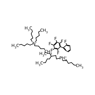 CCCCCC[PH2+]CCC(CC)CCCC.CCCC[CH2][Al-]([CH2]CCCC)([CH2]CCCC)[CH2]CCCC.Fc1ccccc1-c1c(F)c(F)c(F)c(F)c1F